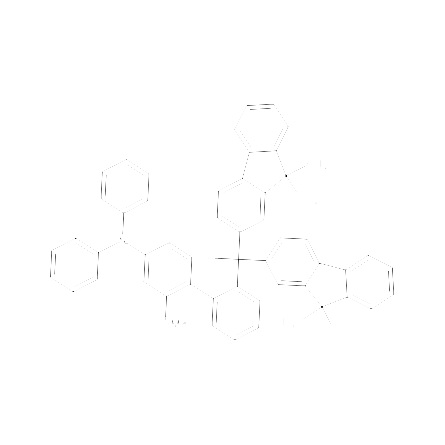 COc1cc(N(c2ccccc2)c2ccccc2)ccc1-c1ccccc1C(O)(c1ccc2c(c1)C(C)(C)c1ccccc1-2)c1ccc2c(c1)C(C)(C)c1ccccc1-2